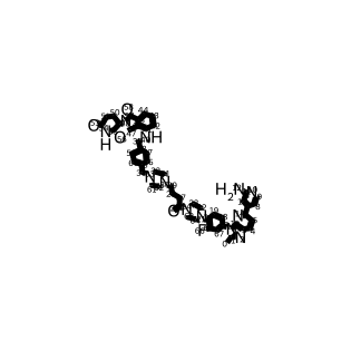 Cc1nc2ccc(-c3ccnc(N)c3)nc2n1-c1ccc(N2CCN(C(=O)CCCN3CCN(Cc4ccc(CNc5cccc6c5CN(C5CCC(=O)NC5=O)C6=O)cc4)CC3)CC2)c(F)c1